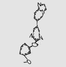 COc1cccc(Oc2ncc(-c3ccc4nccn4c3)cn2)c1